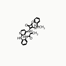 C=CC(=O)Nc1ccccc1Nc1cc(Nc2c(N[C@H](C)c3ccccc3)c(=O)c2=O)ccn1